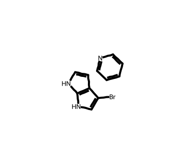 Brc1c[nH]c2[nH]ccc12.c1ccncc1